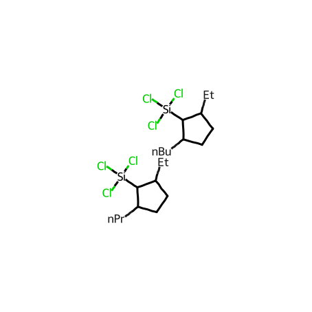 CCCC1CCC(CC)C1[Si](Cl)(Cl)Cl.CCCCC1CCC(CC)C1[Si](Cl)(Cl)Cl